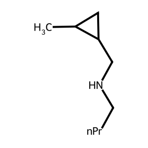 CCCCNCC1CC1C